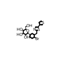 OC[C@H]1O[C@@H](c2ccc(Br)c(Cc3ncc(-c4ccsc4)s3)c2)[C@H](O)[C@@H](O)[C@@H]1O